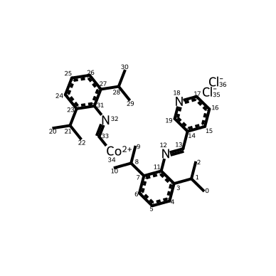 CC(C)c1cccc(C(C)C)c1N=Cc1cccnc1.CC(C)c1cccc(C(C)C)c1N=[CH][Co+2].[Cl-].[Cl-]